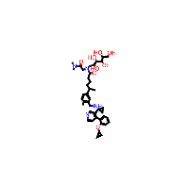 Cc1ccc(C(C)CCCC(=O)N(CC(=O)N(C)C)CC(O)C(O)C(O)C(O)CO)cc1CNC1(c2cnccc2-c2ccccc2OC2CC2)CC1